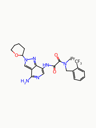 CC(C)N(Cc1ccccc1C(F)(F)F)C(=O)C(=O)Nc1cnc(N)c2cn(C3CCCCO3)nc12